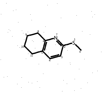 CSc1ccc2c(n1)CCCC2